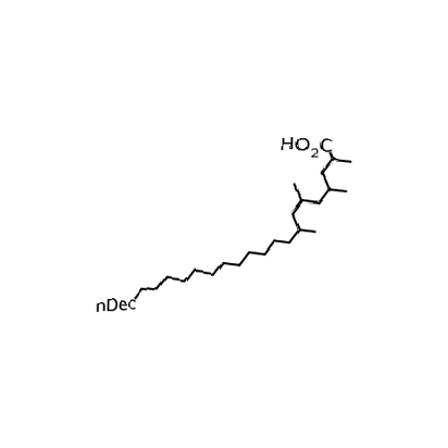 CCCCCCCCCCCCCCCCCCCCCCC(C)CC(C)CC(C)CC(C)C(=O)O